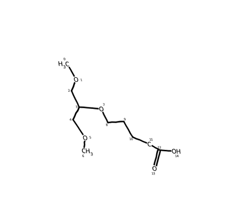 COCC(COC)OCCCCC(=O)O